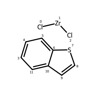 [Cl][Zr][Cl].c1ccc2sccc2c1